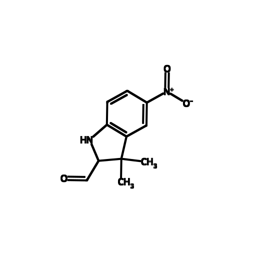 CC1(C)c2cc([N+](=O)[O-])ccc2NC1C=O